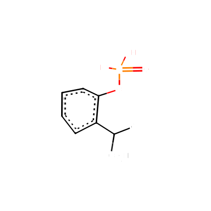 CC(C(=O)O)c1ccccc1OP(=O)(O)O